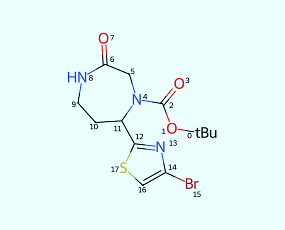 CC(C)(C)OC(=O)N1CC(=O)NCCC1c1nc(Br)cs1